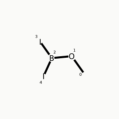 COB(I)I